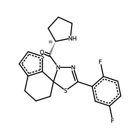 O=C([C@@H]1CCCN1)N1N=C(c2cc(F)ccc2F)SC12CCCc1ccsc12